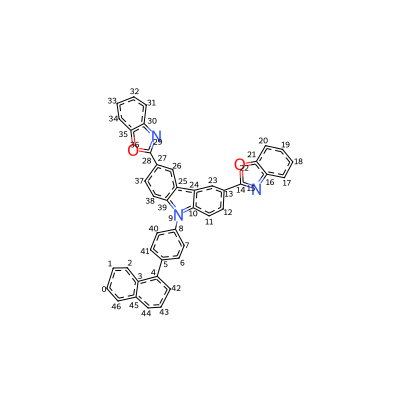 c1ccc2c(-c3ccc(-n4c5ccc(-c6nc7ccccc7o6)cc5c5cc(-c6nc7ccccc7o6)ccc54)cc3)cccc2c1